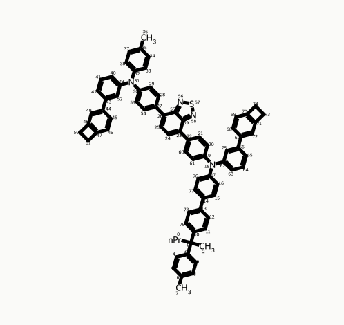 CCCC(C)(c1ccc(C)cc1)c1ccc(-c2ccc(N(c3ccc(-c4ccc(-c5ccc(N(c6ccc(C)cc6)c6cccc(-c7ccc8c(c7)CC8)c6)cc5)c5nsnc45)cc3)c3cccc(-c4ccc5c(c4)CC5)c3)cc2)cc1